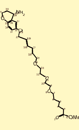 COC(=O)CCCCCOCCOCCOCCCCCCOc1ccc2c(c1)[C@@H](N)CCO2